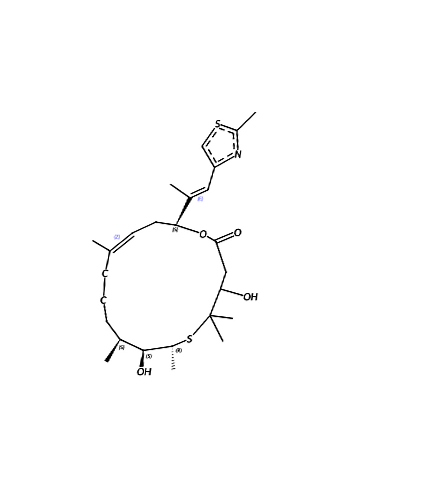 C/C1=C/C[C@@H](/C(C)=C/c2csc(C)n2)OC(=O)CC(O)C(C)(C)S[C@H](C)[C@@H](O)[C@@H](C)CCC1